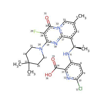 Cc1cc([C@@H](C)Nc2ccc(Cl)nc2C(=O)O)c2nc(N3CCC(C)(C)CC3)c(F)c(=O)n2c1